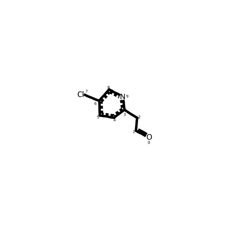 O=CCc1ccc(Cl)cn1